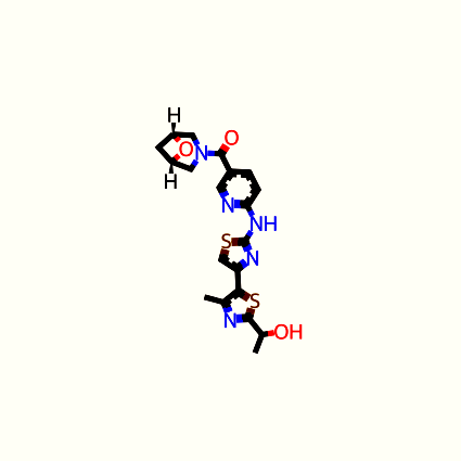 Cc1nc(C(C)O)sc1-c1csc(Nc2ccc(C(=O)N3C[C@H]4C[C@@H](C3)O4)cn2)n1